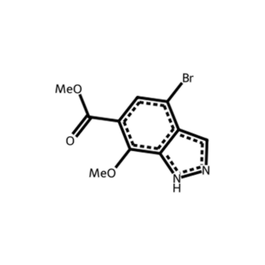 COC(=O)c1cc(Br)c2cn[nH]c2c1OC